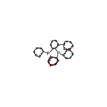 c1ccc(-c2cccc(P(c3ccccc3)c3ccccc3)c2P(c2ccccc2)c2ccccc2)cc1